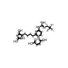 NC(=NCC(F)(F)F)Nc1ccnc(CCCCc2[nH]c(O)nc2O)n1.O=C(O)/C=C\C(=O)O